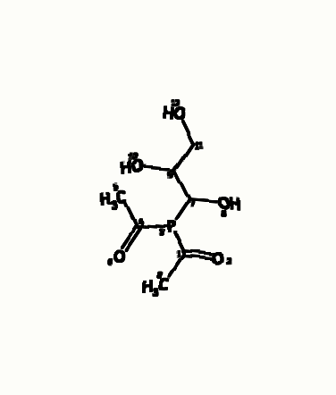 CC(=O)P(C(C)=O)C(O)C(O)CO